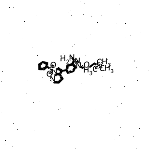 C[Si](C)(C)CCOCn1nc(N)c2cc(-c3cn(S(=O)(=O)c4ccccc4)c4ncccc34)ccc21